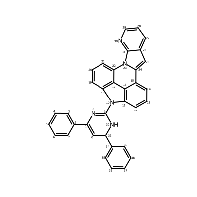 C1=C(c2ccccc2)N=C(n2c3cccc4c3c3c2cccc3n2c4cc3cccnc32)NC1c1ccccc1